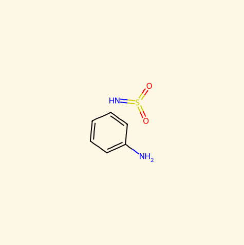 N=S(=O)=O.Nc1ccccc1